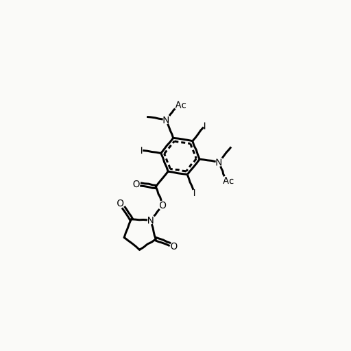 CC(=O)N(C)c1c(I)c(C(=O)ON2C(=O)CCC2=O)c(I)c(N(C)C(C)=O)c1I